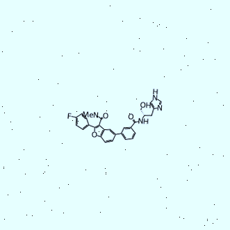 CNC(=O)c1c(-c2ccc(F)cc2)oc2ccc(-c3cccc(C(=O)N[C@H](CO)Cc4c[nH]cn4)c3)cc12